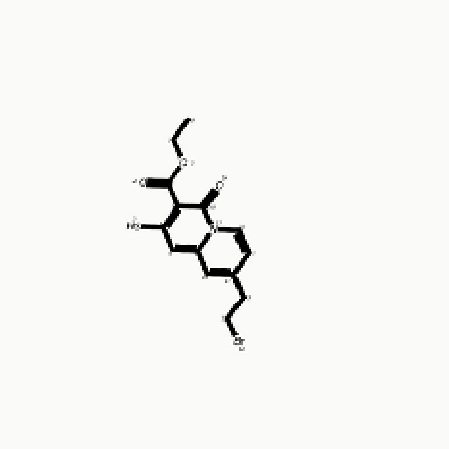 CCOC(=O)c1c(S)cc2cc(CCBr)ccn2c1=O